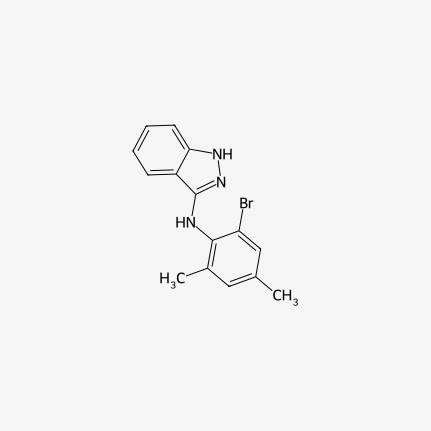 Cc1cc(C)c(Nc2n[nH]c3ccccc23)c(Br)c1